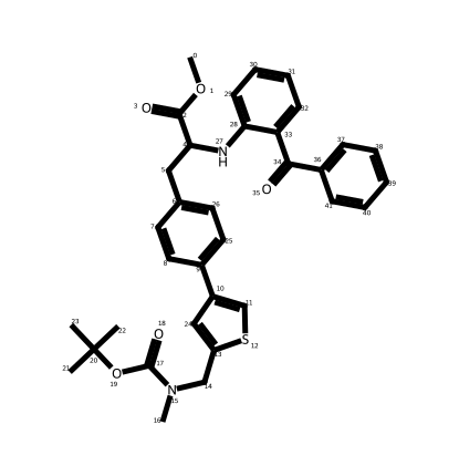 COC(=O)C(Cc1ccc(-c2csc(CN(C)C(=O)OC(C)(C)C)c2)cc1)Nc1ccccc1C(=O)c1ccccc1